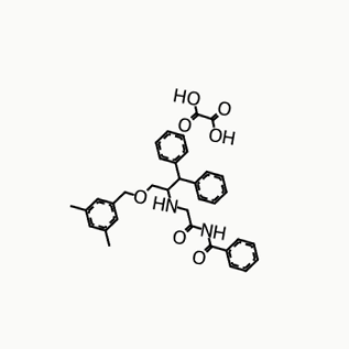 Cc1cc(C)cc(COCC(NCC(=O)NC(=O)c2ccccc2)C(c2ccccc2)c2ccccc2)c1.O=C(O)C(=O)O